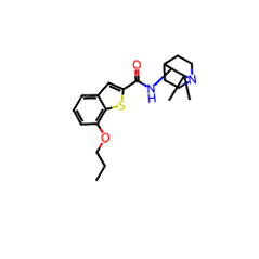 CCCOc1cccc2cc(C(=O)NC3C4CCN(CC4)C3(C)C)sc12